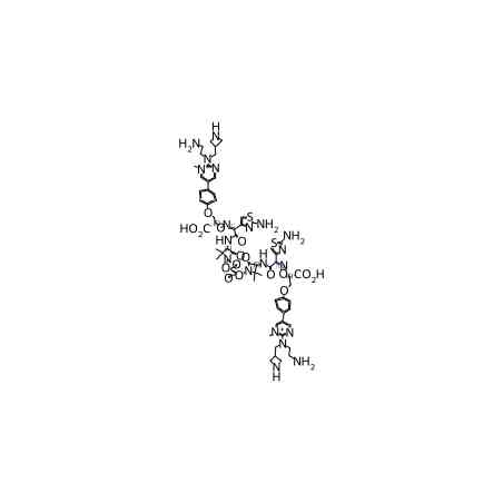 C[n+]1cc(-c2ccc(OC[C@H](O/N=C(\C(=O)N[C@@H]3C(=O)N(OS(=O)(=O)ON4C(=O)[C@@H](NC(=O)/C(=N\O[C@@H](COc5ccc(-c6cnc(N(CCN)CC7CNC7)[n+](C)c6)cc5)C(=O)O)c5csc(N)n5)C4(C)C)C3(C)C)c3csc(N)n3)C(=O)O)cc2)cnc1N(CCN)CC1CNC1